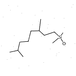 CC(C)CCCC(C)CC[Si](C)(C)[O]